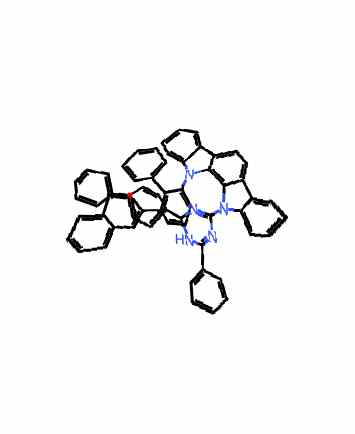 c1ccc(C2=NC(n3c4ccccc4c4ccc5c6ccccc6n(-c6cccc(-c7ccc8ccccc8c7)c6-c6ccccc6)c5c43)=NC(c3ccc(-c4ccccc4)cc3)N2)cc1